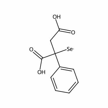 O=C(O)CC([Se])(C(=O)O)c1ccccc1